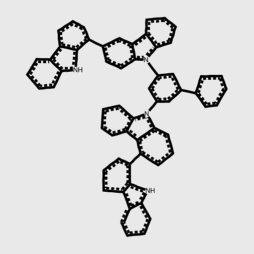 c1ccc(-c2cc(-n3c4ccccc4c4cc(-c5cccc6c5[nH]c5ccccc56)ccc43)cc(-n3c4ccccc4c4c(-c5cccc6c5[nH]c5ccccc56)cccc43)c2)cc1